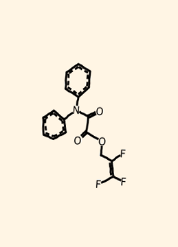 O=C(OCC(F)=C(F)F)C(=O)N(c1ccccc1)c1ccccc1